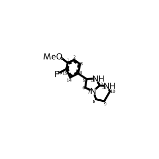 COc1ccc(C2CN3CCCNC3N2)cc1F